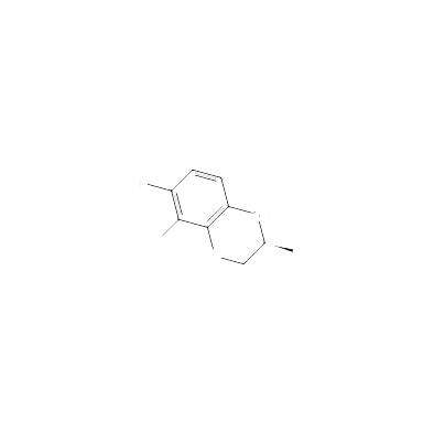 C[C@H]1COc2c(ccc(F)c2F)N1